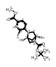 COC(=O)c1ccc(N2C[C@H]3C[C@@H]2CN3C(=O)OC(C)(C)C)c(F)n1